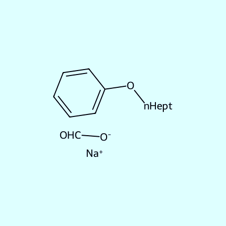 CCCCCCCOc1ccccc1.O=C[O-].[Na+]